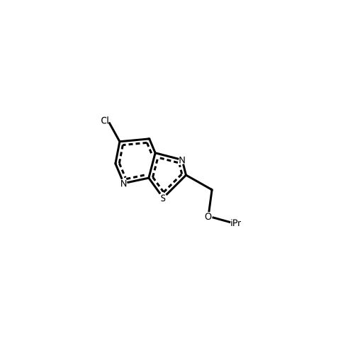 CC(C)OCc1nc2cc(Cl)cnc2s1